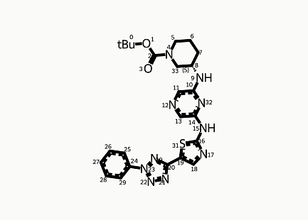 CC(C)(C)OC(=O)N1CCC[C@H](Nc2cncc(Nc3ncc(-c4nnn(-c5ccccc5)n4)s3)n2)C1